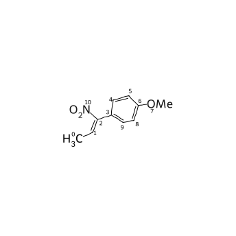 CC=C(c1ccc(OC)cc1)[N+](=O)[O-]